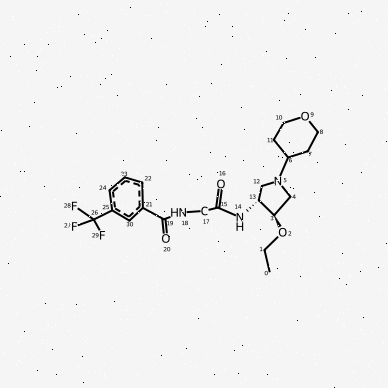 CCO[C@@H]1CN(C2CCOCC2)C[C@H]1NC(=O)CNC(=O)c1cccc(C(F)(F)F)c1